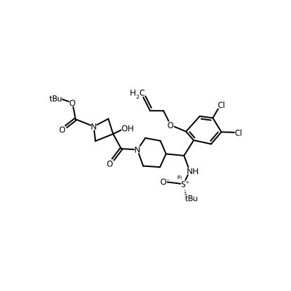 C=CCOc1cc(Cl)c(Cl)cc1C(N[S@@+]([O-])C(C)(C)C)C1CCN(C(=O)C2(O)CN(C(=O)OC(C)(C)C)C2)CC1